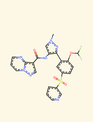 Cn1cc(NC(=O)c2cnn3cccnc23)c(-c2cc(S(=O)(=O)c3cccnc3)ccc2OC(F)F)n1